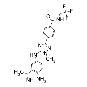 CC(=N)c1cc(Nc2nc(-c3ccc(C(=O)NCC(F)(F)F)cc3)nn2C)ccc1N